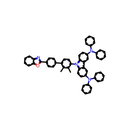 Cc1c(-c2ccc(-c3nc4ccccc4o3)cc2)ccc(-n2c3ccc(N(c4ccccc4)c4ccccc4)cc3c3cc(N(c4ccccc4)c4ccccc4)ccc32)c1C